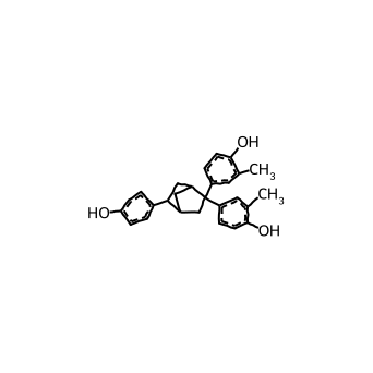 Cc1cc(C2(c3ccc(O)c(C)c3)CC3CC2CC3c2ccc(O)cc2)ccc1O